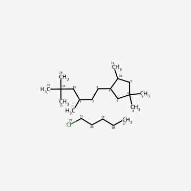 CC(CCC1CC(C)(C)CC1C)CC(C)(C)C.CCCCCCl